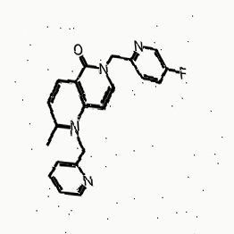 CC1C=Cc2c(ccn(Cc3ccc(F)cn3)c2=O)N1Cc1ccccn1